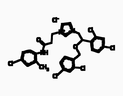 Cc1cc(Cl)ccc1NC(=O)CC[n+]1ccn(CC(OCc2ccc(Cl)cc2Cl)c2ccc(Cl)cc2Cl)c1.[Cl-]